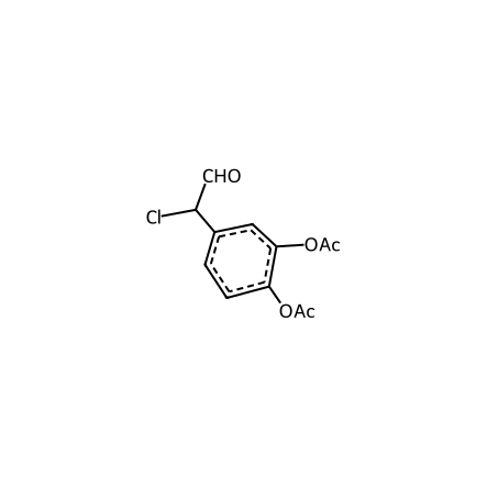 CC(=O)Oc1ccc(C(Cl)C=O)cc1OC(C)=O